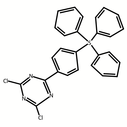 Clc1nc(Cl)nc(-c2ccc(S(c3ccccc3)(c3ccccc3)c3ccccc3)cc2)n1